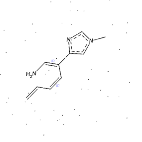 C=C/C=C\C(=C/N)c1cn(C)cn1